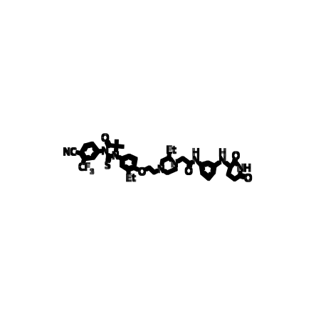 CCc1cc(N2C(=S)N(c3ccc(C#N)c(C(F)(F)F)c3)C(=O)C2(C)C)ccc1OCCN1CCN(CC(=O)Nc2cccc(NC3CCC(=O)NC3=O)c2)C(CC)C1